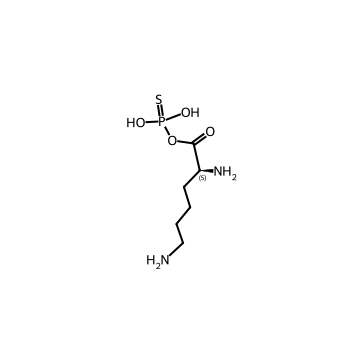 NCCCC[C@H](N)C(=O)OP(O)(O)=S